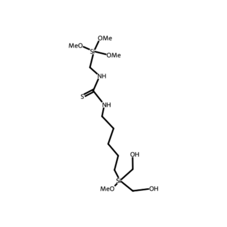 CO[Si](CO)(CO)CCCCCNC(=S)NC[Si](OC)(OC)OC